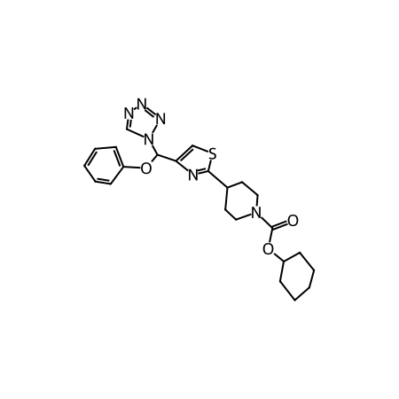 O=C(OC1CCCCC1)N1CCC(c2nc(C(Oc3ccccc3)n3cnnn3)cs2)CC1